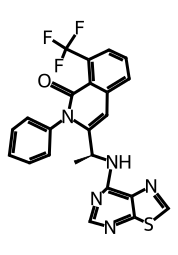 C[C@H](Nc1ncnc2scnc12)c1cc2cccc(C(F)(F)F)c2c(=O)n1-c1ccccc1